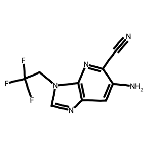 N#Cc1nc2c(cc1N)ncn2CC(F)(F)F